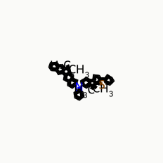 CC1(C)c2cc3ccccc3cc2-c2cc3ccc(N(c4ccccc4)c4ccc5c(c4)C(C)(C)c4c-5ccc5c4sc4ccccc45)cc3cc21